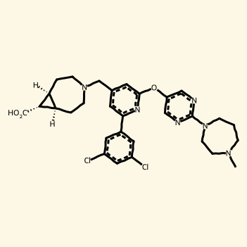 CN1CCCN(c2ncc(Oc3cc(CN4CC[C@@H]5[C@H](CC4)[C@H]5C(=O)O)cc(-c4cc(Cl)cc(Cl)c4)n3)cn2)CC1